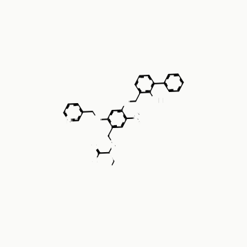 Cc1c(COc2cc(OCc3cccnc3)c(CN[C@@H](CO)C(=O)O)cc2[N+](=O)[O-])cccc1-c1ccccc1